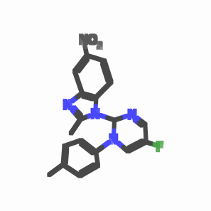 Cc1ccc(N2C=C(F)C=NC2n2c(C)nc3cc([N+](=O)[O-])ccc32)cc1